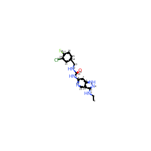 CCNc1n[nH]c2cc(NC(=O)NCc3ccc(F)c(Cl)c3)ncc12